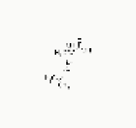 CC(C)CCON=C[C@H]1[C@@H](C(=O)O)C1(C)C